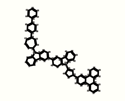 C1=CC(n2c3ccccc3c3cc(C4=Cc5c(n(C6=CC(c7ccc8c9ccccc9c9ccccc9c8c7)CC6)c6ccccc56)CC4)ccc32)C=CC(c2ccc(-c3ccccc3)cc2)=C1